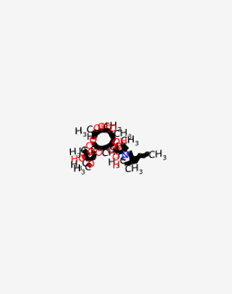 CCCCC1CC(CC)C1CN(C)C1CC(C)OC(O[C@@H]2[C@@H](C)[C@H](OC3CC(C)(OC)C(O)C(C)O3)[C@@H](C)C(=O)O[C@@H]3C(C)[C@]3(O)[C@H](O)[C@@H](C)C(=O)[C@H](C)CC2(C)O)C1O